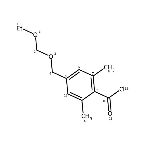 CCOCOCc1cc(C)c(C(=O)Cl)c(C)c1